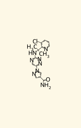 CC(C)(Nc1ncc(-n2cc(C(N)=O)cn2)nn1)c1ncccc1Cl